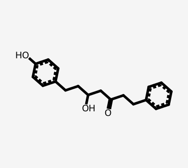 O=C(CCc1ccccc1)CC(O)CCc1ccc(O)cc1